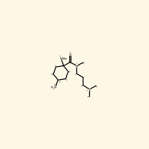 CNC1(C(=O)N(C)CCCN(C)C)CCC(N)CC1